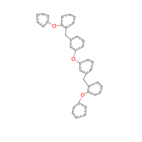 c1ccc(Oc2ccccc2Cc2cccc(Oc3cccc(Cc4ccccc4Oc4ccccc4)c3)c2)cc1